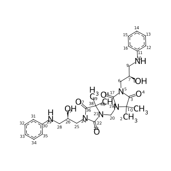 CC1(C)C(=O)N(C[C@H](O)CNc2ccccc2)C(=O)N1CN1C(=O)N(C[C@H](O)CNc2ccccc2)C(=O)C1(C)C